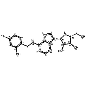 OC[C@H]1O[C@@H](n2cnc3c(NCc4ccc(F)cc4O)ncnc32)[C@H](O)[C@@H]1O